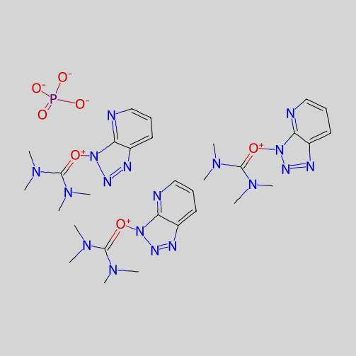 CN(C)C(=[O+]n1nnc2cccnc21)N(C)C.CN(C)C(=[O+]n1nnc2cccnc21)N(C)C.CN(C)C(=[O+]n1nnc2cccnc21)N(C)C.O=P([O-])([O-])[O-]